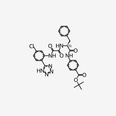 CC(C)(C)OC(=O)c1ccc(NC(=O)[C@H](Cc2ccccc2)NC(=O)C(=O)Nc2cc(Cl)ccc2-c2nnn[nH]2)cc1